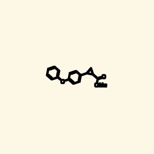 COC(=O)C1CC1c1ccc(Oc2ccccc2)cc1